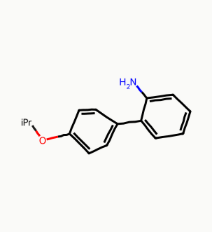 CC(C)Oc1ccc(-c2ccccc2N)cc1